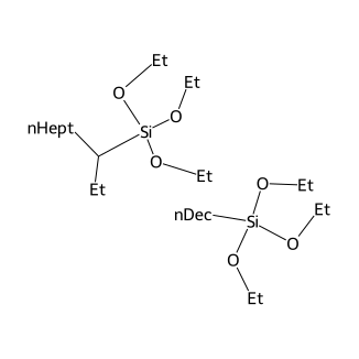 CCCCCCCC(CC)[Si](OCC)(OCC)OCC.CCCCCCCCCC[Si](OCC)(OCC)OCC